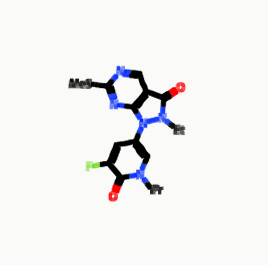 CCn1c(=O)c2cnc(SC)nc2n1-c1cc(F)c(=O)n(C(C)C)c1